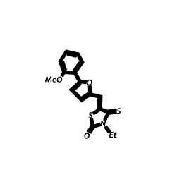 CCN1C(=O)S/C(=C\c2ccc(-c3ccccc3OC)o2)C1=S